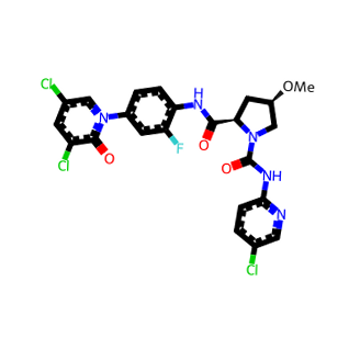 CO[C@@H]1C[C@H](C(=O)Nc2ccc(-n3cc(Cl)cc(Cl)c3=O)cc2F)N(C(=O)Nc2ccc(Cl)cn2)C1